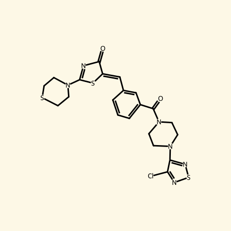 O=C1N=C(N2CCSCC2)SC1=Cc1cccc(C(=O)N2CCN(c3nsnc3Cl)CC2)c1